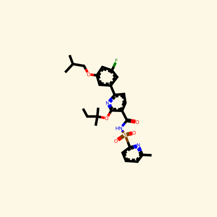 CCC(C)(C)Oc1nc(-c2cc(F)cc(OCC(C)C)c2)ccc1C(=O)NS(=O)(=O)c1cccc(C)n1